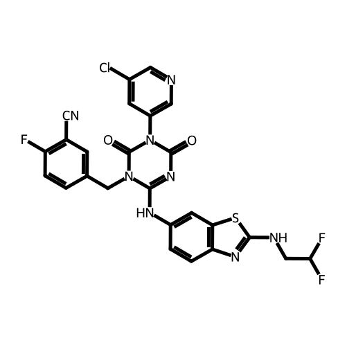 N#Cc1cc(Cn2c(Nc3ccc4nc(NCC(F)F)sc4c3)nc(=O)n(-c3cncc(Cl)c3)c2=O)ccc1F